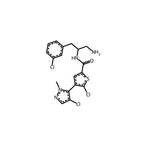 Cn1ncc(Cl)c1-c1cc(C(=O)NC(CN)Cc2cccc(Cl)c2)sc1Cl